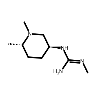 C/N=C(\N)N[C@H]1CC[C@H](C)N(C)C1